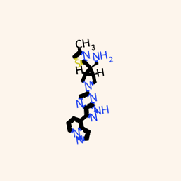 Cc1csc([C@]2(CN)[C@@H]3CN(c4cnc5c(-c6cccn7nccc67)n[nH]c5n4)C[C@@H]32)n1